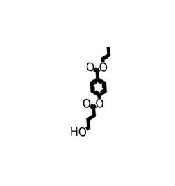 CCCOC(=O)c1ccc(OC(=O)CCCO)cc1